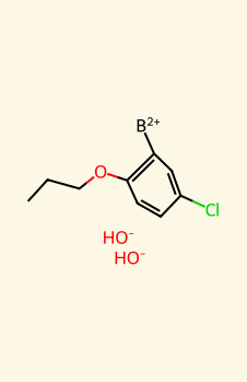 [B+2]c1cc(Cl)ccc1OCCC.[OH-].[OH-]